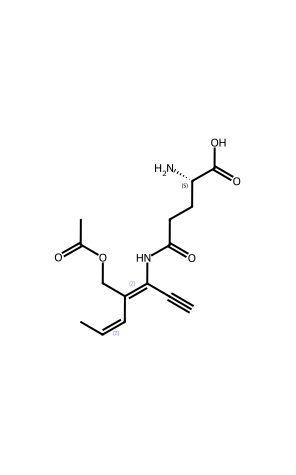 C#C/C(NC(=O)CC[C@H](N)C(=O)O)=C(\C=C/C)COC(C)=O